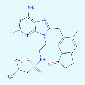 CC(C)CS(=O)(=O)NCCn1c(Cc2cc3c(cc2I)CCC3=O)nc2c(N)nc(F)nc21